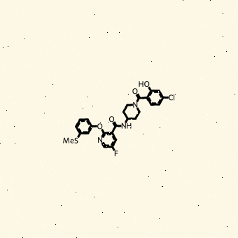 CSc1cccc(Oc2ncc(F)cc2C(=O)NC2CCN(C(=O)c3ccc(Cl)cc3O)CC2)c1